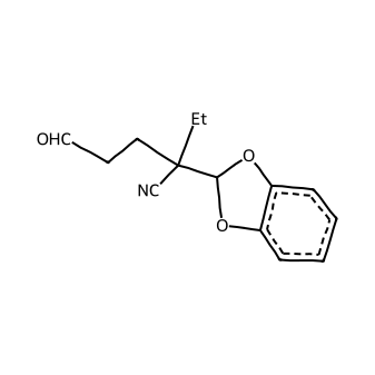 CCC(C#N)(CCC=O)C1Oc2ccccc2O1